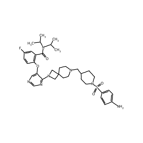 CC(C)N(C(=O)c1cc(F)ccc1Oc1cncnc1N1CC2(CCN(CC3CCN(S(=O)(=O)c4ccc(N)cc4)CC3)CC2)C1)C(C)C